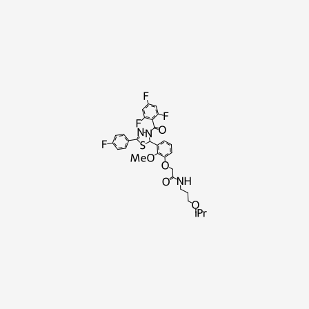 COc1c(OCC(=O)NCCCOC(C)C)cccc1C1SC(c2ccc(F)cc2)=NN1C(=O)c1c(F)cc(F)cc1F